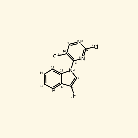 Fc1cn(-c2nc(Cl)ncc2Cl)c2ccccc12